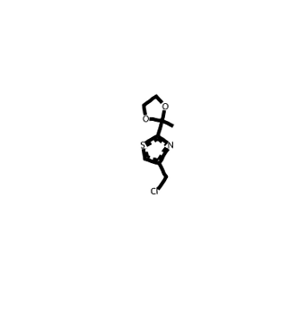 CC1(c2nc(CCl)cs2)OCCO1